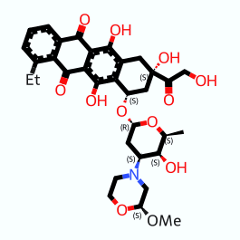 CCc1cccc2c1C(=O)c1c(O)c3c(c(O)c1C2=O)C[C@@](O)(C(=O)CO)C[C@@H]3O[C@H]1C[C@H](N2CCO[C@H](OC)C2)[C@H](O)[C@H](C)O1